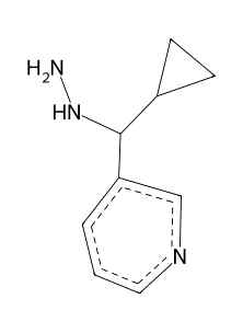 NNC(c1cccnc1)C1CC1